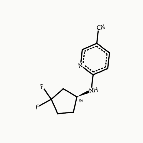 N#Cc1ccc(N[C@H]2CCC(F)(F)C2)nc1